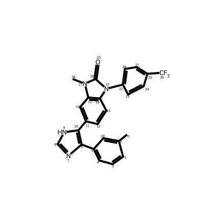 Cc1cccc(-c2nc[nH]c2-c2ccc3c(c2)n(C)c(=O)n3-c2ccc(C(F)(F)F)cc2)c1